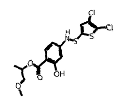 COCC(C)OC(=O)c1ccc(NSc2cc(Cl)c(Cl)s2)cc1O